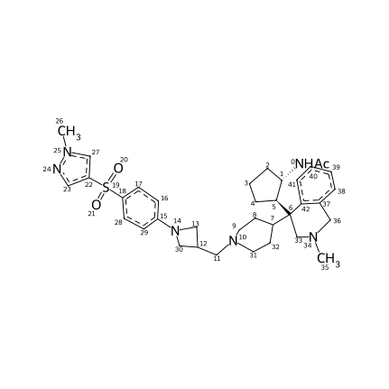 CC(=O)N[C@H]1CCC[C@@H]1C1(C2CCN(CC3CN(c4ccc(S(=O)(=O)c5cnn(C)c5)cc4)C3)CC2)CN(C)Cc2ccccc21